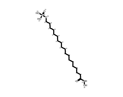 O=C(CCCCCCCCCCCCCCCCCCOP(=O)(O)O)NO